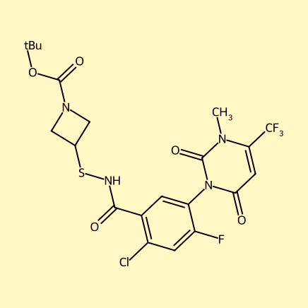 Cn1c(C(F)(F)F)cc(=O)n(-c2cc(C(=O)NSC3CN(C(=O)OC(C)(C)C)C3)c(Cl)cc2F)c1=O